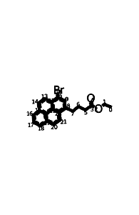 CCOC(=O)CCCc1cc(Br)c2ccc3cccc4ccc1c2c34